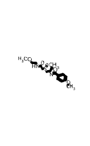 COCCNC(=O)C[S+]([O-])Cc1nc(-c2ccc(OC)cc2)oc1C